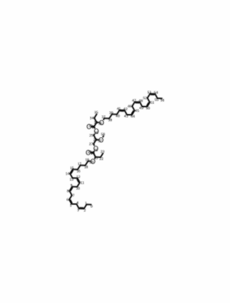 CC/C=C\C/C=C\C/C=C\C/C=C\C/C=C\CCCCOC(CC)C(=O)OCC(COC(=O)C(CC)OCCCC/C=C\C/C=C\C/C=C\C/C=C\C/C=C\CC)OC